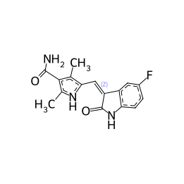 Cc1[nH]c(/C=C2\C(=O)Nc3ccc(F)cc32)c(C)c1C(N)=O